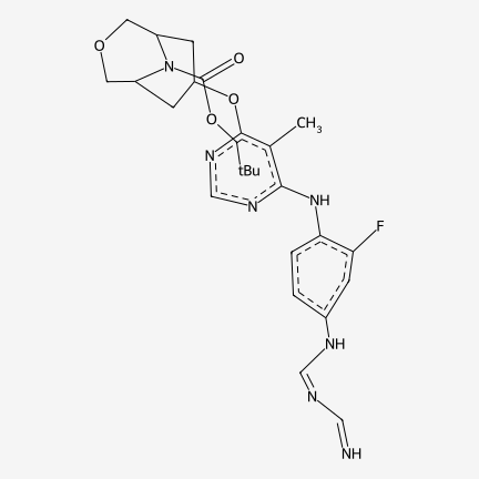 Cc1c(Nc2ccc(N/C=N\C=N)cc2F)ncnc1OC1CC2COCC(C1)N2C(=O)OCC(C)(C)C